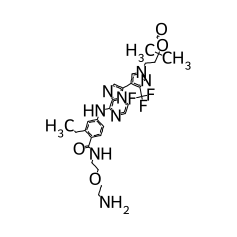 CCc1cc(Nc2nccn3c(-c4cn(CCC(C)(C)OC=O)nc4C(F)(F)F)cnc23)ccc1C(=O)NCCOCCN